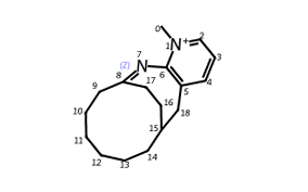 C[n+]1cccc2c1/N=C1/CCCCCCC(CC1)C2